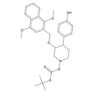 COc1cc(COC2CN(OC(=O)OC(C)(C)C)CCC2c2ccc(O)cc2)c(OC)c2ccccc12